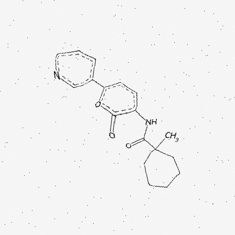 CC1(C(=O)Nc2ccc(-c3cccnc3)oc2=O)CCCCC1